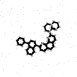 c1ccc(-c2ccc(-c3ccc4ccc5ccc(N6CCCN7CCCN=C76)nc5c4n3)c3ccccc23)cc1